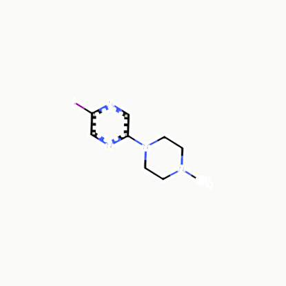 CN1CCN(c2cnc(I)cn2)CC1